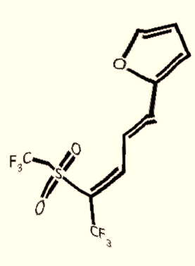 O=S(=O)(/C(=C\C=C\c1ccco1)C(F)(F)F)C(F)(F)F